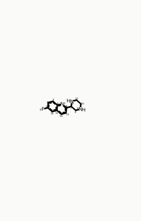 Fc1ccc2nc(C3CNCCN3)ccc2c1